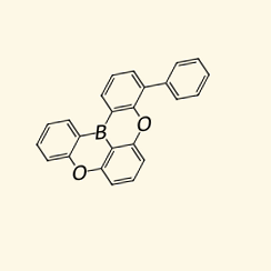 c1ccc(-c2cccc3c2Oc2cccc4c2B3c2ccccc2O4)cc1